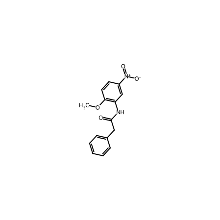 COc1ccc([N+](=O)[O-])cc1NC(=O)Cc1ccccc1